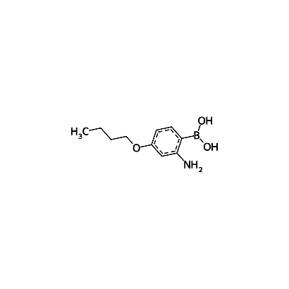 CCCCOc1ccc(B(O)O)c(N)c1